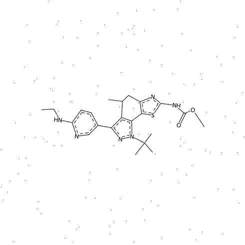 CCNc1ccc(-c2nn(C(C)(C)C)c3c2C(C)Cc2nc(NC(=O)OC)sc2-3)cn1